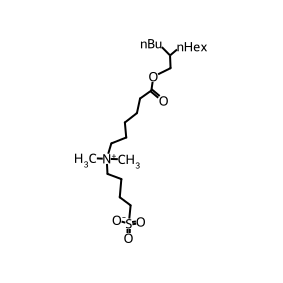 CCCCCCC(CCCC)COC(=O)CCCCC[N+](C)(C)CCCCS(=O)(=O)[O-]